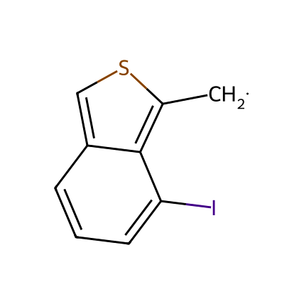 [CH2]c1scc2cccc(I)c12